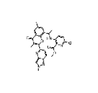 COC(=O)c1nc(Cl)ccc1NC(C)c1cc(C)cc2c(=O)c(C)c(-c3ccc4nn(C)cc4n3)oc12